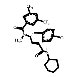 CN(C(=O)c1cc(C(F)(F)F)cc(C(F)(F)F)c1)[C@@H](C=CC(=O)NC1CCCCC1)Cc1ccc(Cl)cc1